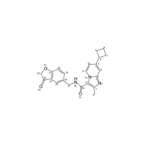 Cc1nc2cc(C3CCC3)ccn2c1C(=O)NCc1ccc2c(c1)C(=O)CO2